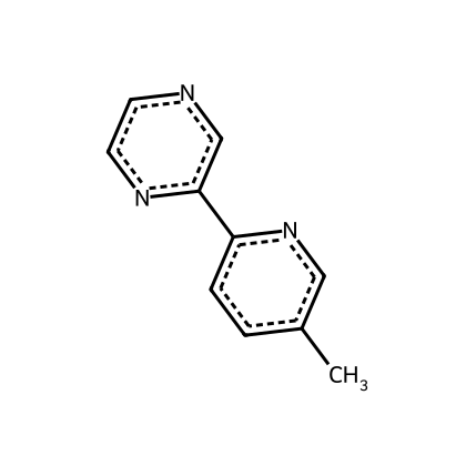 Cc1ccc(-c2cnccn2)nc1